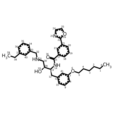 CCCCCCOc1cccc(C[C@H](NC(=O)c2cccc(-c3ncco3)c2)[C@@H](O)CNCc2cccc(CC)c2)c1